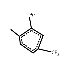 C[C](C)c1cc(C(F)(F)F)ccc1I